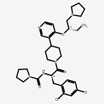 CC[C@@H](CN1CCCC1)Oc1ccncc1C1CCN(C(=O)[C@@H](Cc2ccc(Cl)cc2Cl)NC(=O)N2CCCC2)CC1